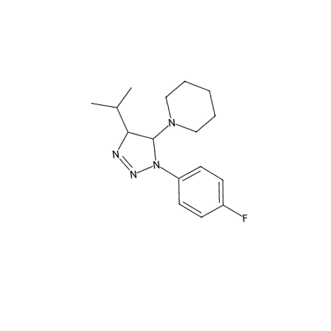 CC(C)C1N=NN(c2ccc(F)cc2)C1N1CCCCC1